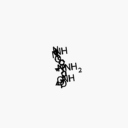 CC(OC(=O)Nc1ccc(-c2c(N)c3ccc(OCc4ncn[nH]4)cc3n2C2CC2)cc1)C1CC1